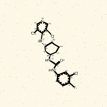 O=C(Nc1ccc(F)c(Cl)c1)N[C@@H]1CCC[C@@H](Nc2c(Cl)cncc2Cl)C1